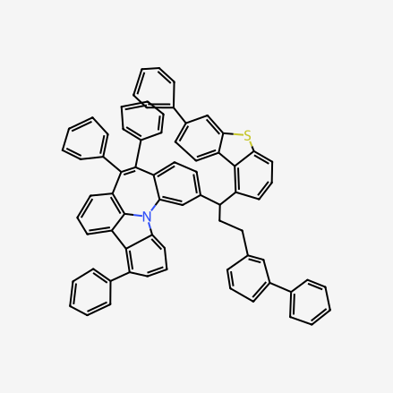 c1ccc(C2=C(c3ccccc3)c3cccc4c5c(-c6ccccc6)cccc5n(c34)-c3cc(C(CCc4cccc(-c5ccccc5)c4)c4cccc5sc6cc(-c7ccccc7)ccc6c45)ccc32)cc1